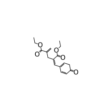 C=C(CC(=CC1=CCC(=O)C=C1)C(=O)OCC)C(=O)OCC